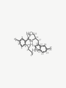 CCCOc1ccc(I)cc1C(=O)NC(CO)Cc1c[nH]c2ccc(F)cc12